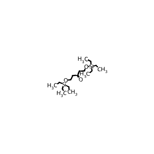 CC[Si](CC)(CC)OCCC(=O)CCO[Si](CC)(CC)CC